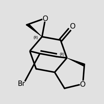 O=C1[C@@]23C=C(Br)C(CC2COC3)[C@@]12CO2